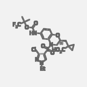 CCn1cc(S(=O)(=O)N2C[C@H](CC3(C(=O)O)CC3)Oc3ccc(NC(=O)OC(C)(C)C(F)(F)F)cc32)c(Cl)n1